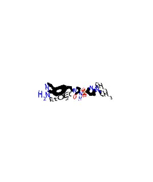 CCOC(=O)C(Cc1cc2ccnc(N)c2cc1CC)N1CCC(NS(=O)(=O)c2ccc(N(C)C)nc2)C1=O